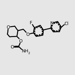 NC(=O)OC1CCOCC1COc1ccc(-c2ccc(Cl)cn2)cc1F